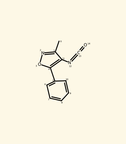 Cc1noc(-c2ccccc2)c1N=C=O